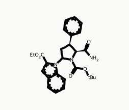 CCOC(=O)c1cc2ccccc2n1C1C[C@@H](c2ccccc2)[C@@H](C(N)=O)N1C(=O)OC(C)(C)C